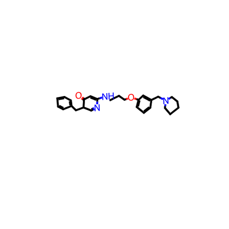 O=C1C=C(NCCCOc2cccc(CN3CCCCC3)c2)N=CC1Cc1ccccc1